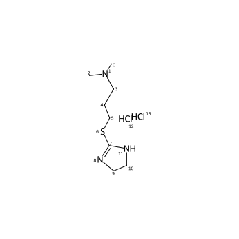 CN(C)CCCSC1=NCCN1.Cl.Cl